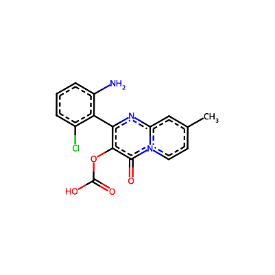 Cc1ccn2c(=O)c(OC(=O)O)c(-c3c(N)cccc3Cl)nc2c1